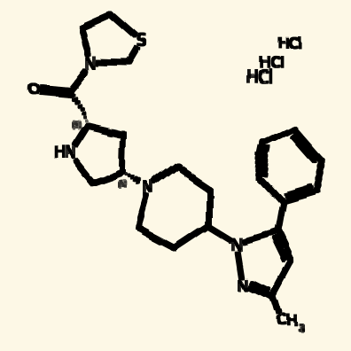 Cc1cc(-c2ccccc2)n(C2CCN([C@@H]3CN[C@H](C(=O)N4CCSC4)C3)CC2)n1.Cl.Cl.Cl